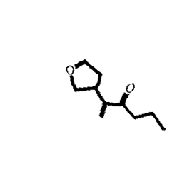 CCCC(=O)C(C)C1CCOC1